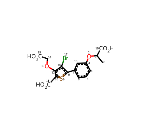 CC(Oc1cccc(-c2sc(C(=O)O)c(OCC(=O)O)c2Br)c1)C(=O)O